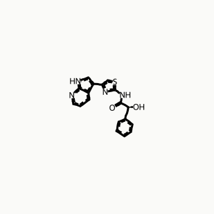 O=C(Nc1nc(-c2c[nH]c3ncccc23)cs1)[C@@H](O)c1ccccc1